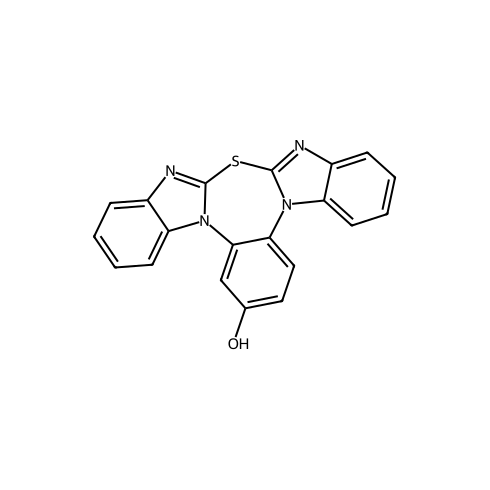 Oc1ccc2c(c1)n1c(nc3ccccc31)sc1nc3ccccc3n12